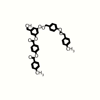 C=Cc1cc(OOCc2ccc(OOCc3ccc(C)cc3)cc2)cc(OC(=O)c2ccc(OC(=O)c3ccc(C)cc3)cc2)c1